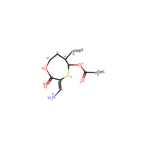 CCCCCCCCCCC(=O)OC1SC(=CN)C(=O)OCCC1CCCCCCC